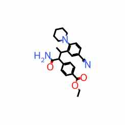 CCOC(=O)c1ccc(C(C(N)=O)C(C)c2cc(C#N)ccc2N2CCCCC2)cc1